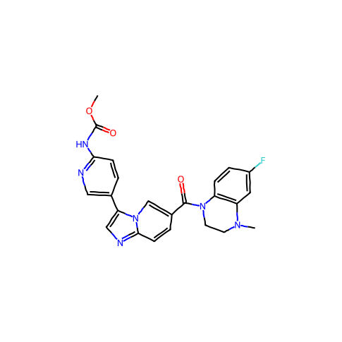 COC(=O)Nc1ccc(-c2cnc3ccc(C(=O)N4CCN(C)c5cc(F)ccc54)cn23)cn1